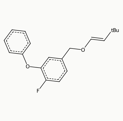 CC(C)(C)C=COCc1ccc(F)c(Oc2ccccc2)c1